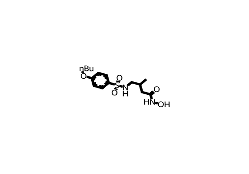 CCCCOc1ccc(S(=O)(=O)NCC(C)CC(=O)NO)cc1